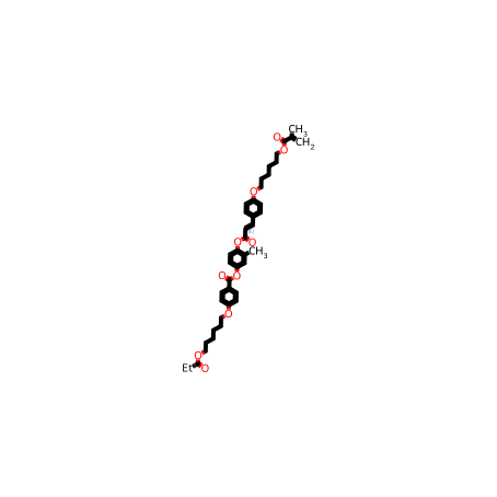 C=C(C)C(=O)OCCCCCCOc1ccc(/C=C/C(=O)Oc2ccc(OC(=O)c3ccc(OCCCCCCOC(=O)CC)cc3)cc2C)cc1